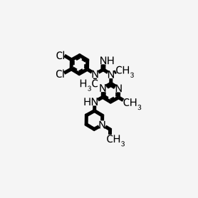 CCN1CCCC(Nc2cc(C)nc(N(C)C(=N)N(C)c3ccc(Cl)c(Cl)c3)n2)C1